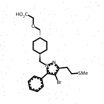 CSCCc1nn(C[C@H]2CC[C@H](COCC(=O)O)CC2)c(-c2ccccc2)c1Br